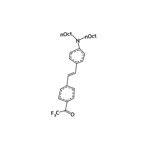 CCCCCCCCN(CCCCCCCC)c1ccc(/C=C/c2ccc(C(=O)C(F)(F)F)cc2)cc1